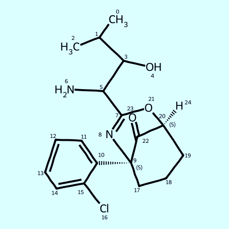 CC(C)C(O)C(N)C1=N[C@]2(c3ccccc3Cl)CCC[C@H](O1)C2=O